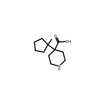 CC1(C2(C(=O)O)CCNCC2)CCCC1